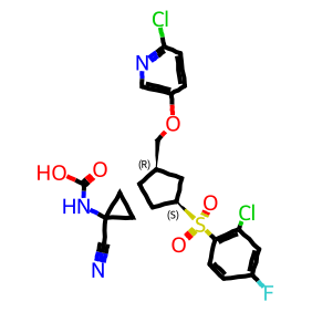 N#CC1(NC(=O)O)CC1.O=S(=O)(c1ccc(F)cc1Cl)[C@H]1CC[C@@H](COc2ccc(Cl)nc2)C1